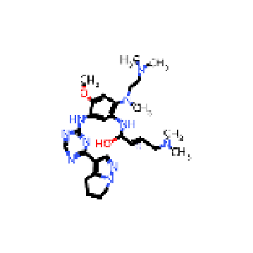 COc1cc(N(C)CCN(C)C)c(NC(O)/C=C/CN(C)C)cc1Nc1ncnc(-c2cnn3c2CCCC3)n1